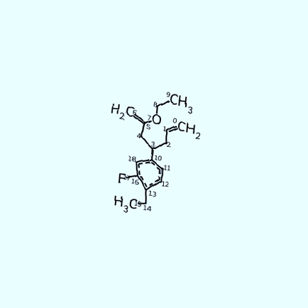 C=CCC(CC(=C)OCC)c1ccc(CC)c(F)c1